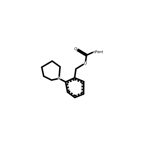 CCCCCC(=O)OCc1ccccc1N1CCCCC1